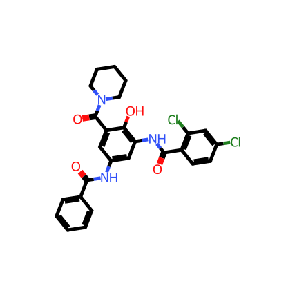 O=C(Nc1cc(NC(=O)c2ccc(Cl)cc2Cl)c(O)c(C(=O)N2CCCCC2)c1)c1ccccc1